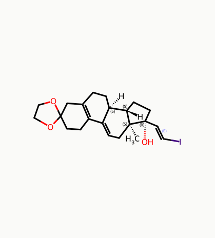 C[C@]12CC=C3C4=C(CC[C@H]3[C@@H]1CC[C@@]2(O)/C=C/I)CC1(CC4)OCCO1